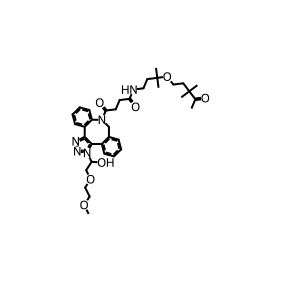 COCCOCC(O)n1nnc2c1-c1ccccc1CN(C(=O)CCC(=O)NCCC(C)(C)OCCC(C)(C)C(C)=O)c1ccccc1-2